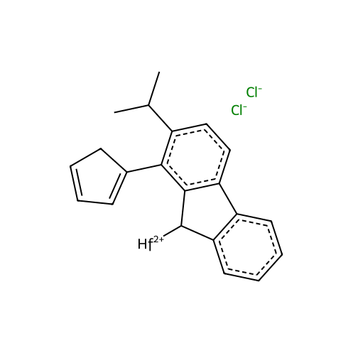 CC(C)c1ccc2c(c1C1=CC=CC1)[CH]([Hf+2])c1ccccc1-2.[Cl-].[Cl-]